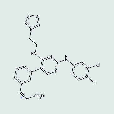 CCOC(=O)/C=C\c1cccc(-c2cnc(Nc3ccc(F)c(Cl)c3)nc2NCCn2ccnc2)c1